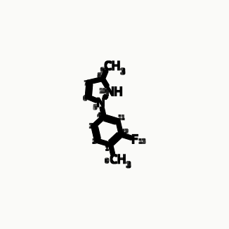 Cc1ccc(N2C=CC(C)N2)cc1F